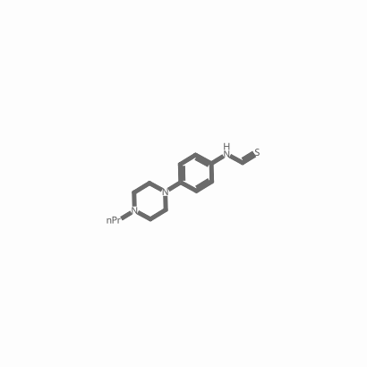 CCCN1CCN(c2ccc(NC=S)cc2)CC1